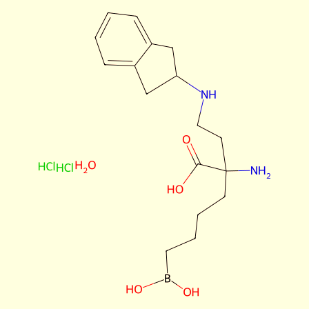 Cl.Cl.NC(CCCCB(O)O)(CCNC1Cc2ccccc2C1)C(=O)O.O